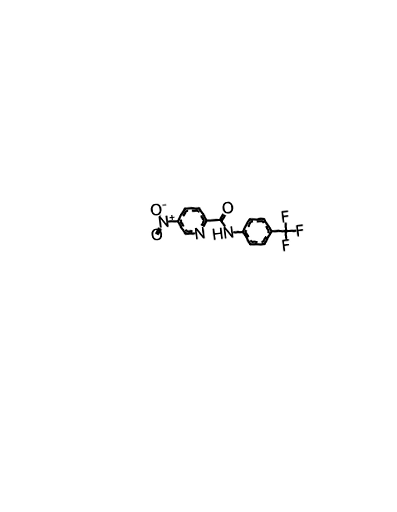 O=C(Nc1ccc(C(F)(F)F)cc1)c1ccc([N+](=O)[O-])cn1